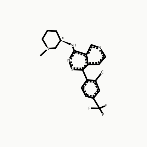 CN1CCC[C@@H](Nc2nnc(-c3ccc(C(F)(F)F)cc3Cl)c3ccncc23)C1